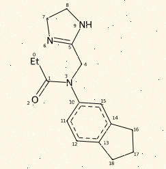 CCC(=O)N(CC1=NCCN1)c1ccc2c(c1)CCC2